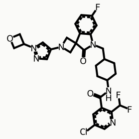 O=C(NC1CCC(CN2C(=O)C3(CN(c4cnn(C5COC5)c4)C3)c3ccc(F)cc32)CC1)c1cc(Cl)cnc1C(F)F